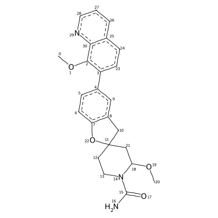 COc1c(-c2ccc3c(c2)CC2(CCN(C(N)=O)C(OC)C2)O3)ccc2cccnc12